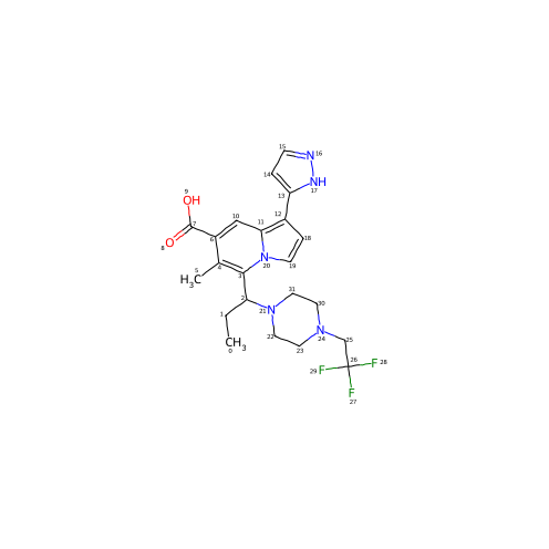 CCC(c1c(C)c(C(=O)O)cc2c(-c3ccn[nH]3)ccn12)N1CCN(CC(F)(F)F)CC1